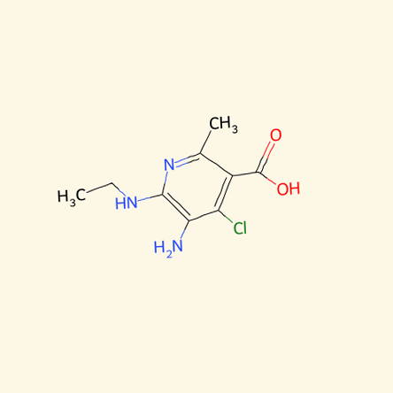 CCNc1nc(C)c(C(=O)O)c(Cl)c1N